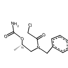 C[C@@H](CN(Cc1ccccc1)C(=O)CCl)OC(N)=O